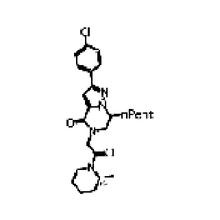 CCCCCC1CN(CC(=O)N2CCCC[C@@H]2C)C(=O)c2cc(-c3ccc(Cl)cc3)nn21